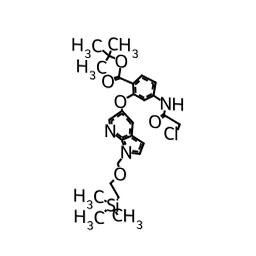 CC(C)(C)OC(=O)c1ccc(NC(=O)CCl)cc1Oc1cnc2c(ccn2COCC[Si](C)(C)C)c1